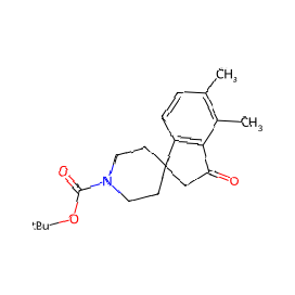 Cc1ccc2c(c1C)C(=O)CC21CCN(C(=O)OC(C)(C)C)CC1